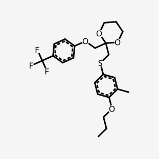 CCCOc1ccc(SCC2(COc3ccc(C(F)(F)F)cc3)OCCCO2)cc1C